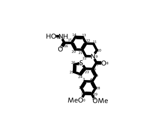 COc1ccc(/C=C(/C(=O)N2CCc3ccc(C(=O)NO)cc3C2)c2cccs2)cc1OC